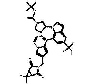 CC(C)(C)OC(=O)N1CCC(n2ccc3cc(C(F)(F)F)cc(-c4ncnn5cc(CN6C(=O)C7C(C6=O)C7(C)C)cc45)c32)C1